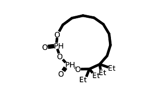 CCC1(CC)CCCCCCCCO[PH](=O)O[PH](=O)OC1(CC)CC